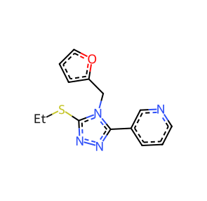 CCSc1nnc(-c2cccnc2)n1Cc1ccco1